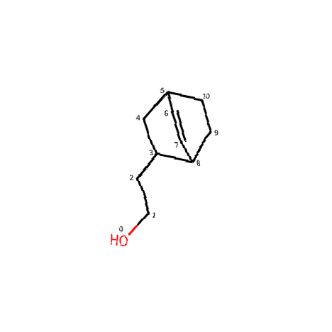 OCCC1CC2C=CC1CC2